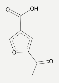 CC(=O)c1cc(C(=O)O)co1